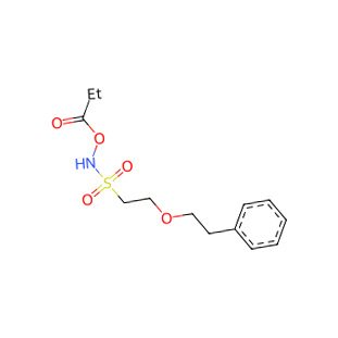 CCC(=O)ONS(=O)(=O)CCOCCc1ccccc1